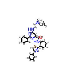 CN(C)CCNc1cc(C(=O)Nc2ccccc2-c2nc(-c3ccccc3)cs2)nc(-c2ccccc2)n1